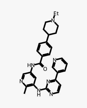 CCN1CCC(c2ccc(C(=O)Nc3cnc(C)c(Nc4nccc(-c5cccnc5)n4)c3)cc2)CC1